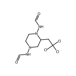 O=CNN1CCN(NC=O)C(CC(Cl)(Cl)Cl)C1